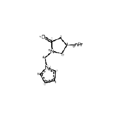 CCCC1CC(=O)N(Cn2cccc2)C1